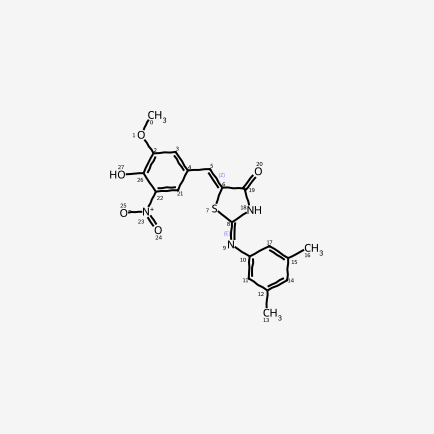 COc1cc(/C=C2\S/C(=N/c3cc(C)cc(C)c3)NC2=O)cc([N+](=O)[O-])c1O